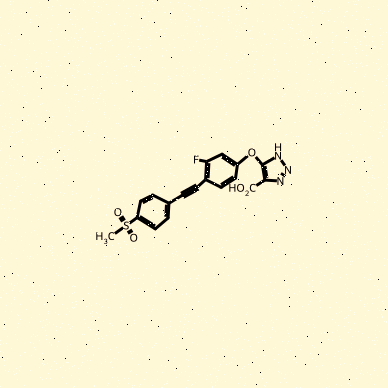 CS(=O)(=O)c1ccc(C#Cc2ccc(Oc3[nH]nnc3C(=O)O)cc2F)cc1